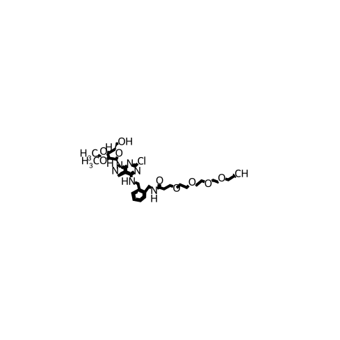 C#CCOCCOCCOCCOCCC(=O)NCc1ccccc1CNc1nc(Cl)nc2c1cnn2[C@@H]1O[C@H](CO)[C@H]2OC(C)(C)O[C@H]21